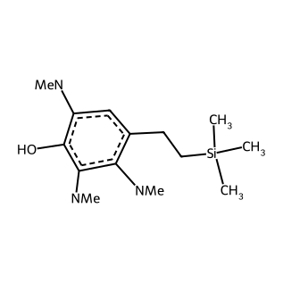 CNc1cc(CC[Si](C)(C)C)c(NC)c(NC)c1O